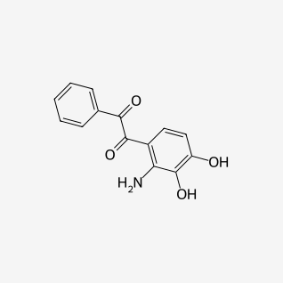 Nc1c(C(=O)C(=O)c2ccccc2)ccc(O)c1O